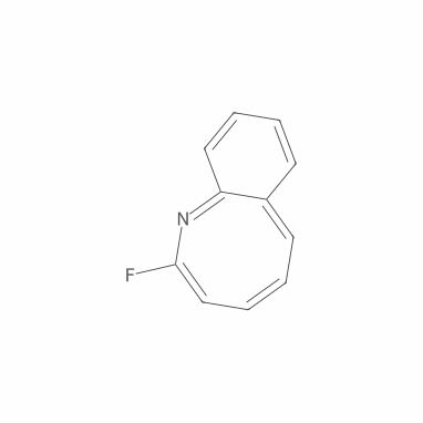 FC1=CC=CC=c2ccccc2=N1